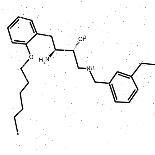 CCCCCCOc1ccccc1C[C@H](N)[C@H](O)CNCc1cccc(CC)c1